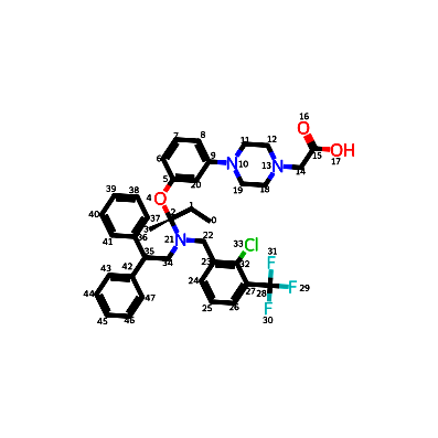 CC[C@@](C)(Oc1cccc(N2CCN(CC(=O)O)CC2)c1)N(Cc1cccc(C(F)(F)F)c1Cl)CC(c1ccccc1)c1ccccc1